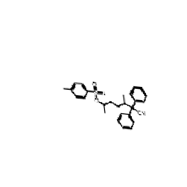 Cc1ccc(S(=O)(=O)OC(C)CCC(C)C(C#N)(c2ccccc2)c2ccccc2)cc1